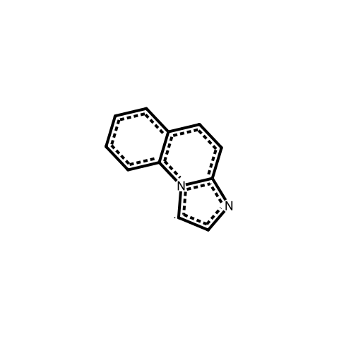 [c]1cnc2ccc3ccccc3n12